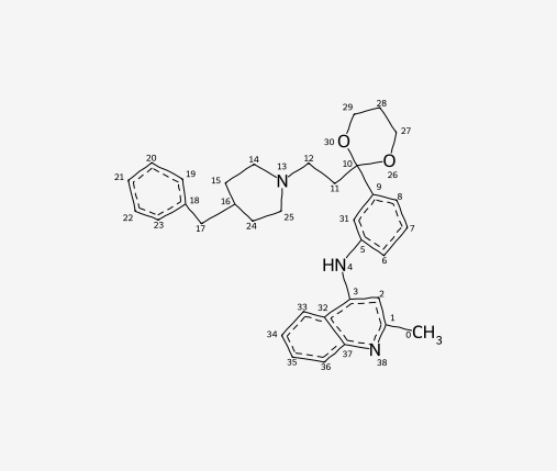 Cc1cc(Nc2cccc(C3(CCN4CCC(Cc5ccccc5)CC4)OCCCO3)c2)c2ccccc2n1